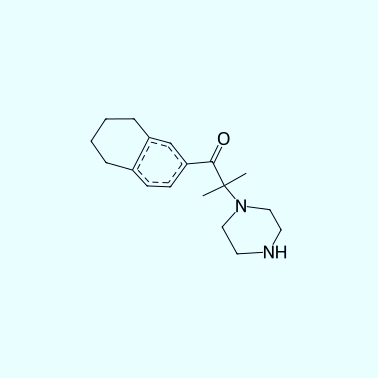 CC(C)(C(=O)c1ccc2c(c1)CCCC2)N1CCNCC1